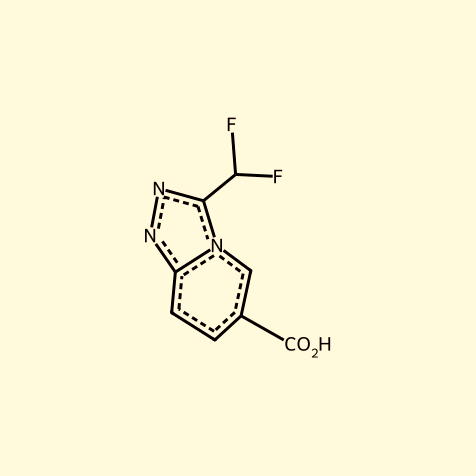 O=C(O)c1ccc2nnc(C(F)F)n2c1